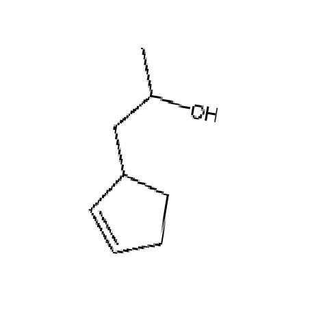 CC(O)CC1C=CCC1